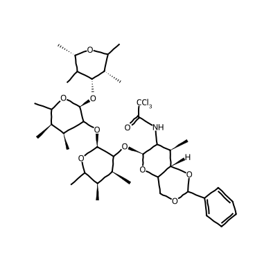 CC1[C@H](C)OC(C)[C@H](C)[C@@H]1O[C@@H]1OC(C)[C@H](C)[C@H](C)C1O[C@@H]1OC(C)[C@H](C)[C@H](C)C1O[C@@H]1OC2COC(c3ccccc3)O[C@H]2[C@H](C)C1NC(=O)C(Cl)(Cl)Cl